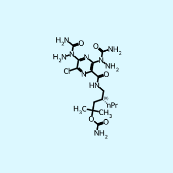 CCC[C@@H](CNC(=O)c1nc(Cl)c(N(N)C(N)=O)nc1N(N)C(N)=O)CC(C)(C)OC(N)=O